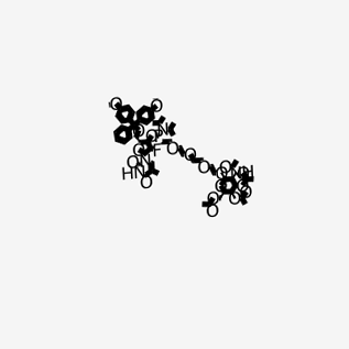 COc1ccc(C(OC[C@@H]2O[C@H](n3cc(C)c(=O)[nH]c3=O)C(F)C2OP(CCOCCOCCOCCO[C@@H]2O[C@H](COC(C)=O)[C@H](OC(C)=O)[C@H](OC(C)=O)[C@@H]2NC(C)=O)N(C(C)C)C(C)C)(c2ccccc2)c2ccc(OC)cc2)cc1